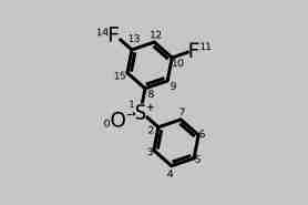 [O-][S+](c1ccccc1)c1cc(F)cc(F)c1